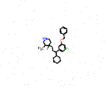 CC1CNCCC1(F)CCC(c1cccc(OCc2ccccc2)c1)C1CCCCC1.Cl